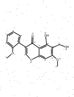 COc1ccccc1-c1coc2cc(OC)c(CO)c(O)c2c1=O